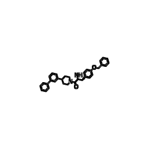 NC(Cc1ccc(OCc2ccccc2)cc1)C(=O)N1CCC(c2cccc(-c3ccccc3)c2)CC1